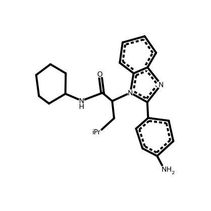 CC(C)CC(C(=O)NC1CCCCC1)n1c(-c2ccc(N)cc2)nc2ccccc21